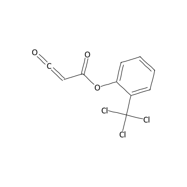 O=C=CC(=O)Oc1ccccc1C(Cl)(Cl)Cl